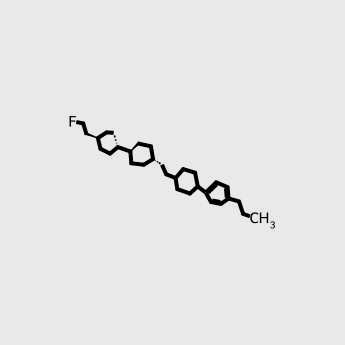 CCCc1ccc(C2CCC(CC[C@H]3CC[C@H]([C@H]4CC[C@H](CCF)CC4)CC3)CC2)cc1